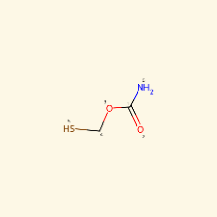 NC(=O)OCS